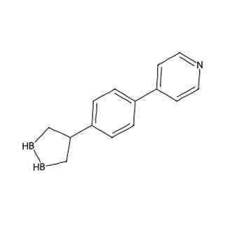 B1BCC(c2ccc(-c3ccncc3)cc2)C1